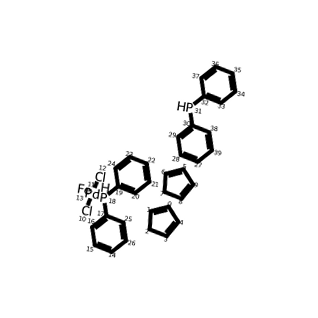 C1=CCC=C1.C1=CCC=C1.[Cl][Pd][Cl].[Fe].c1ccc(Pc2ccccc2)cc1.c1ccc(Pc2ccccc2)cc1